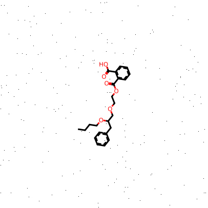 CCCCOC(COCCOC(=O)c1ccccc1C(=O)O)Cc1ccccc1